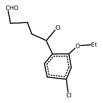 CCOc1cc(Cl)ccc1C(Cl)CCCC=O